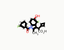 Cc1c(C(C(=O)O)C2CCC2)c2c(F)c(O)ccc2n1C(=O)c1cccc(F)c1